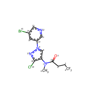 CN(C(=O)CCC(F)(F)F)c1cn(-c2cncc(Br)c2)nc1Cl